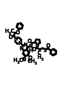 COc1cc2nc(N3CCN(C(=O)C(C)Oc4ccccc4)CC3)nc(NC(=O)C3CCCN3C(=O)C(C)CSC(=O)c3ccccc3)c2cc1OC